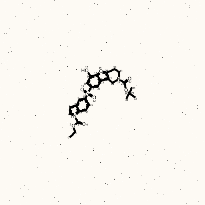 CCOC(=O)n1ccc2cc(S(=O)(=O)c3cc(O)c4oc5c(c4c3)CN(C(=O)OC(C)(C)C)CC5)ccc21